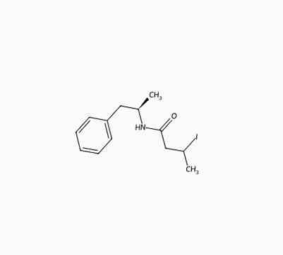 CC(I)CC(=O)N[C@H](C)Cc1ccccc1